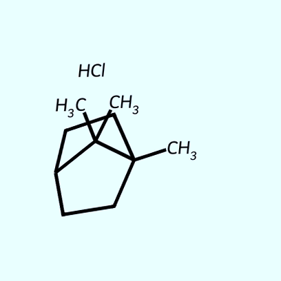 CC12CCC(CC1)C2(C)C.Cl